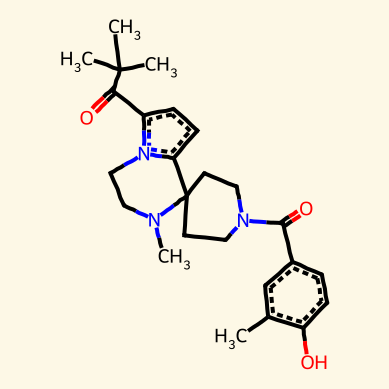 Cc1cc(C(=O)N2CCC3(CC2)c2ccc(C(=O)C(C)(C)C)n2CCN3C)ccc1O